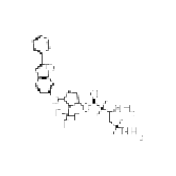 CC(C)(N)CC(N)C(C)(C)C(=O)OC1CCC(Oc2ccc3cc(-c4ccccc4)oc3c2)C1C(F)(F)F